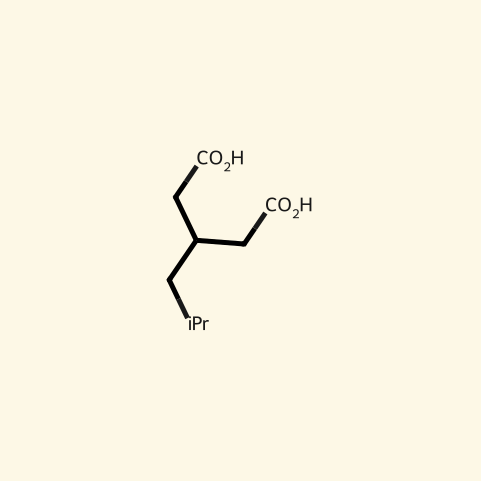 CC(C)CC(CC(=O)O)CC(=O)O